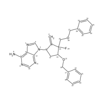 C=C1C(n2cnc3c(N)ncnc32)CC(OCc2ccccc2)C1(F)COCc1ccccc1